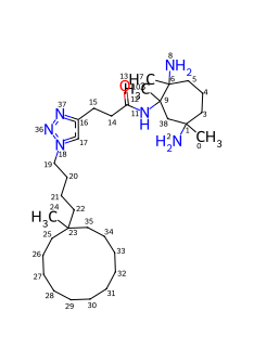 CC1(N)CCCC(C)(N)C(C)(NC(=O)CCc2cn(CCCCC3(C)CCCCCCCCCCC3)nn2)C1